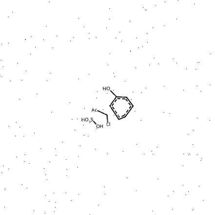 CC(=O)CCl.O=S(=O)(O)O.Oc1ccccc1